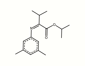 Cc1cc(C)cc(/N=C(\C(=O)OC(C)C)C(C)C)c1